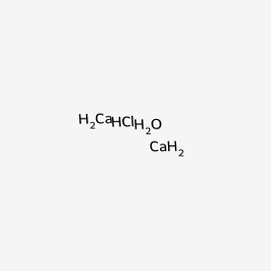 Cl.O.[CaH2].[CaH2]